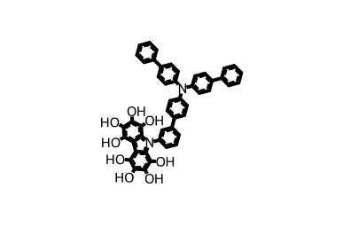 Oc1c(O)c(O)c2c(c1O)c1c(O)c(O)c(O)c(O)c1n2-c1cccc(-c2ccc(N(c3ccc(-c4ccccc4)cc3)c3ccc(-c4ccccc4)cc3)cc2)c1